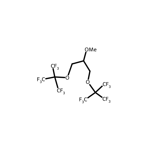 COC(COC(C(F)(F)F)(C(F)(F)F)C(F)(F)F)COC(C(F)(F)F)(C(F)(F)F)C(F)(F)F